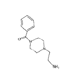 NCCN1CCN(C(=O)c2ccccc2)CC1